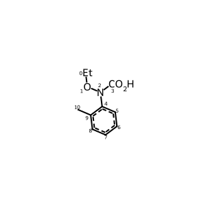 CCON(C(=O)O)c1ccccc1C